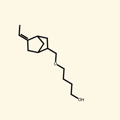 CC=C1CC2CC1CC2COCCCCO